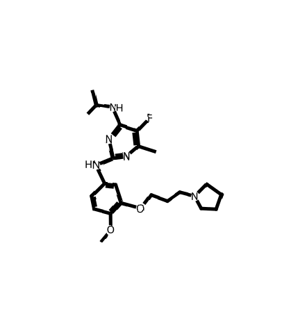 COc1ccc(Nc2nc(C)c(F)c(NC(C)C)n2)cc1OCCCN1CCCC1